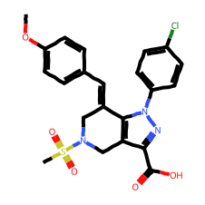 COc1ccc(C=C2CN(S(C)(=O)=O)Cc3c(C(=O)O)nn(-c4ccc(Cl)cc4)c32)cc1